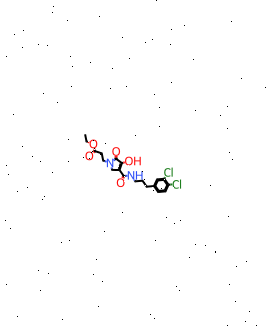 CCOC(=O)CCN1CC(C(=O)NCCCc2ccc(Cl)c(Cl)c2)=C(O)C1=O